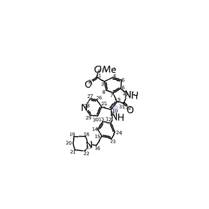 COC(=O)c1ccc2c(c1)/C(=C(/Nc1ccc(CN3CCCCC3)cc1)c1ccncc1)C(=O)N2